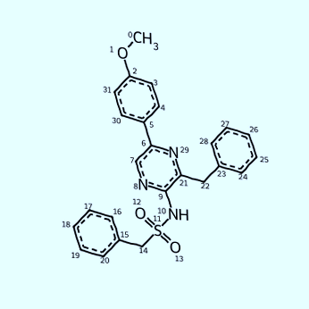 COc1ccc(-c2cnc(NS(=O)(=O)Cc3ccccc3)c(Cc3ccccc3)n2)cc1